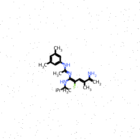 C=C(N)/C(C)=C/C(F)=C(\N=C(/C)Nc1cc(C)cc(C)c1)NC(C)C(C)C